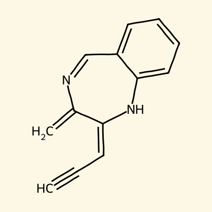 C#C/C=C1/Nc2ccccc2C=NC1=C